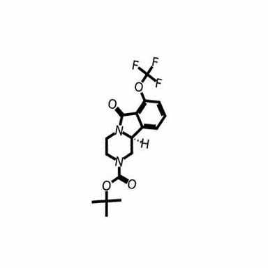 CC(C)(C)OC(=O)N1CCN2C(=O)c3c(OC(F)(F)F)cccc3[C@H]2C1